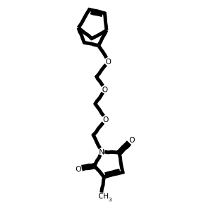 CC1=CC(=O)N(COCOCOC2CC3C=CC2C3)C1=O